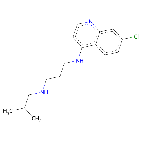 CC(C)CNCCCNc1ccnc2cc(Cl)ccc12